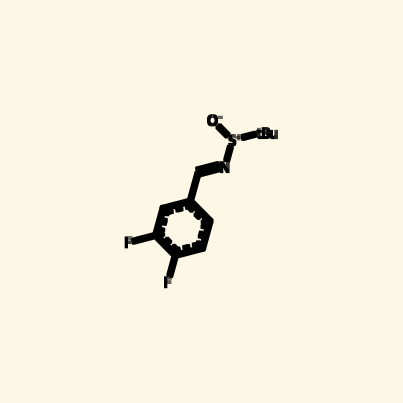 CC(C)(C)[S+]([O-])N=Cc1ccc(F)c(F)c1